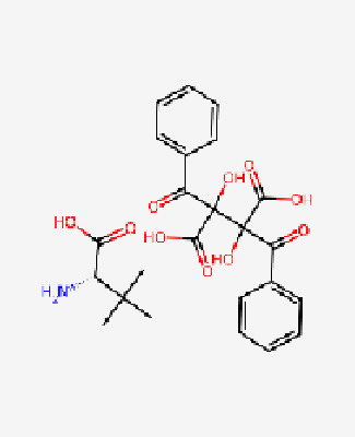 CC(C)(C)[C@H](N)C(=O)O.O=C(O)C(O)(C(=O)c1ccccc1)C(O)(C(=O)O)C(=O)c1ccccc1